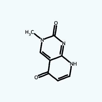 Cn1cc2c(=O)cc[nH]c2nc1=O